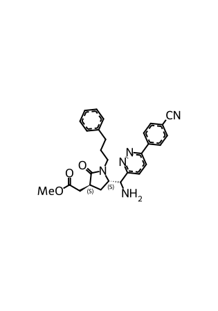 COC(=O)C[C@@H]1C[C@@H](C(N)c2ccc(-c3ccc(C#N)cc3)nn2)N(CCCc2ccccc2)C1=O